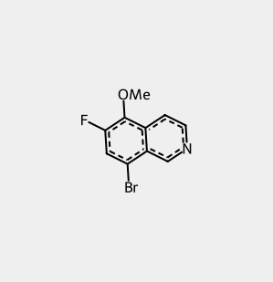 COc1c(F)cc(Br)c2cnccc12